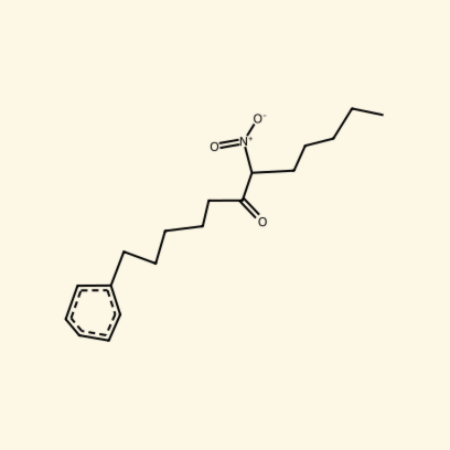 CCCCCC(C(=O)CCCCCc1ccccc1)[N+](=O)[O-]